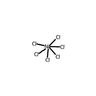 [Cl][Ni]([Cl])([Cl])([Cl])([Cl])[Cl]